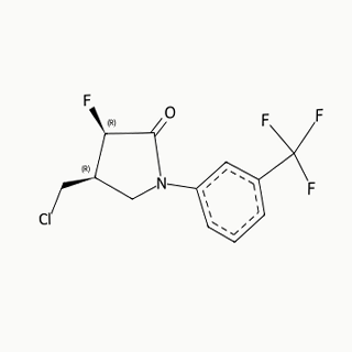 O=C1[C@H](F)[C@H](CCl)CN1c1cccc(C(F)(F)F)c1